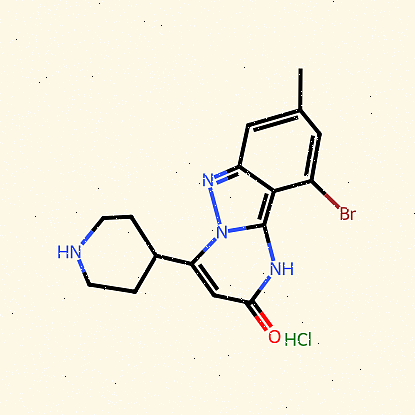 Cc1cc(Br)c2c(c1)nn1c(C3CCNCC3)cc(=O)[nH]c21.Cl